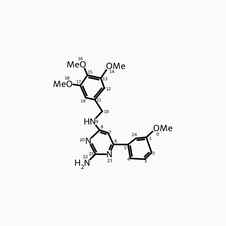 COc1cccc(-c2cc(NCc3cc(OC)c(OC)c(OC)c3)nc(N)n2)c1